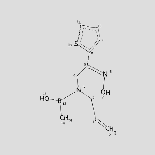 C=CCN(CC(=NO)c1cccs1)B(C)O